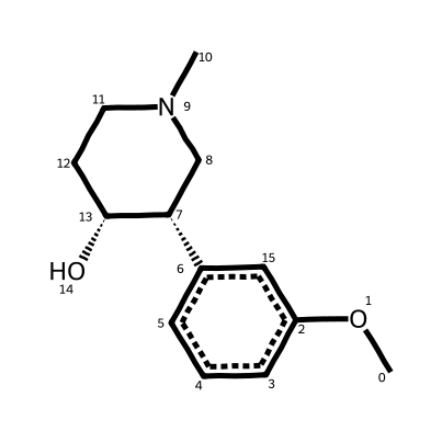 COc1cccc([C@H]2CN(C)CC[C@H]2O)c1